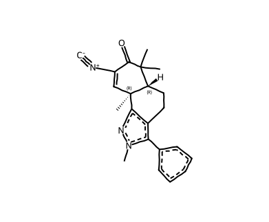 [C-]#[N+]C1=C[C@]2(C)c3nn(C)c(-c4ccccc4)c3CC[C@H]2C(C)(C)C1=O